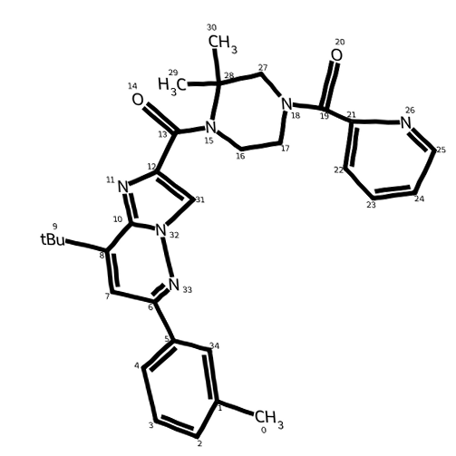 Cc1cccc(-c2cc(C(C)(C)C)c3nc(C(=O)N4CCN(C(=O)c5ccccn5)CC4(C)C)cn3n2)c1